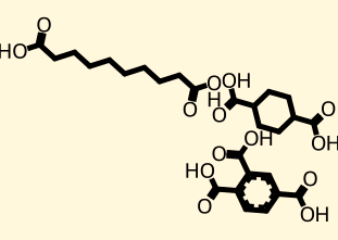 O=C(O)C1CCC(C(=O)O)CC1.O=C(O)CCCCCCCCC(=O)O.O=C(O)c1ccc(C(=O)O)c(C(=O)O)c1